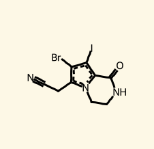 N#CCc1c(Br)c(I)c2n1CCNC2=O